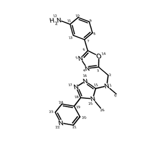 CN(Cc1nnc(-c2cccc(N)c2)o1)c1nnc(-c2ccncc2)n1C